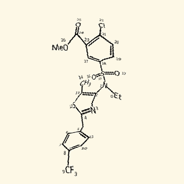 CCN(c1nc(-c2ccc(C(F)(F)F)cc2)sc1C)S(=O)(=O)c1ccc(Cl)c(C(=O)OC)c1